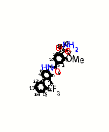 COc1cc(C(=O)Nc2ccc(-c3ccccc3C(F)(F)F)c(C)c2)ccc1S(N)(=O)=O